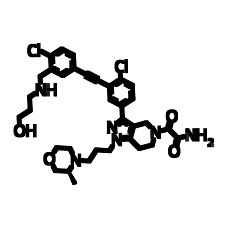 C[C@H]1COCCN1CCCn1nc(-c2ccc(Cl)c(C#Cc3ccc(Cl)c(CNCCCO)c3)c2)c2c1CCN(C(=O)C(N)=O)C2